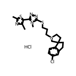 Cc1nc(C)c(-c2nnc(SCCCN3CCC4(CCc5cc(Cl)ccc54)C3)n2C)s1.Cl